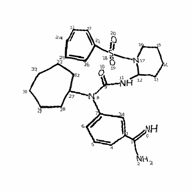 N=C(N)c1cccc(N(C(=O)NC2CCCCN2S(=O)(=O)c2ccccc2)C2CCCCCC2)c1